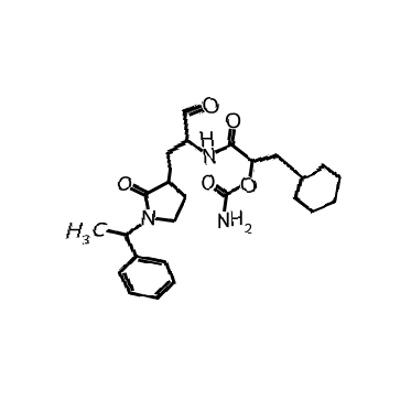 CC(c1ccccc1)N1CCC(CC(C=O)NC(=O)C(CC2CCCCC2)OC(N)=O)C1=O